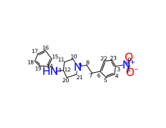 O=[N+]([O-])c1ccc(CCN2CCC(Nc3ccccc3)CC2)cc1